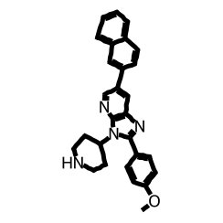 COc1ccc(-c2nc3cc(-c4ccc5ccccc5c4)cnc3n2C2CCNCC2)cc1